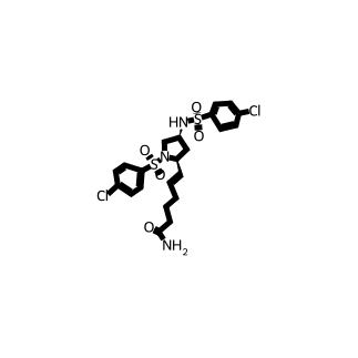 NC(=O)CCCC=C[C@@H]1C[C@@H](NS(=O)(=O)c2ccc(Cl)cc2)CN1S(=O)(=O)c1ccc(Cl)cc1